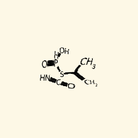 C=C(C)S[PH](=O)O.N=C=O